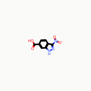 O=C(O)c1ccc2c([N+](=O)[O-])n[nH]c2c1